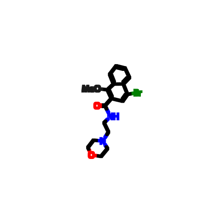 COc1c(C(=O)NCCN2CCOCC2)cc(Br)c2ccccc12